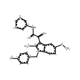 COc1ccc2c(c1)c(C(=O)C(=O)Nc1cncnc1)c(C)n2Cc1ccc(Cl)cc1